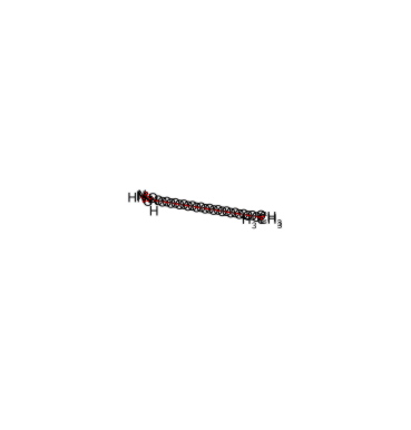 CC(C)(C)C(=O)CCOCCOCCOCCOCCOCCOCCOCCOCCOCCOCCOCCOCCOCCOCCOCCOCCOCCOCCOCCOCCOCCOCCOCCOCCNC(=O)CCC(=O)N1Cc2ccccc2-c2nn[nH]c2-c2ccccc21